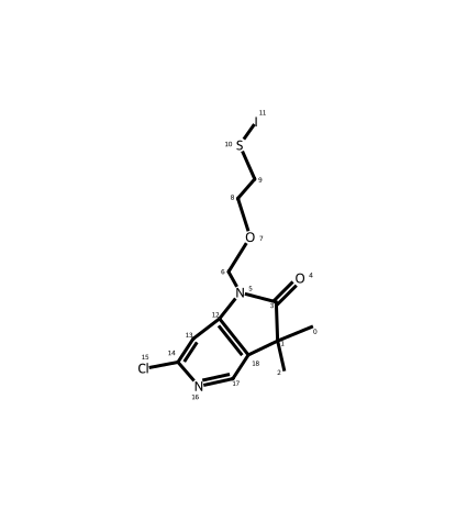 CC1(C)C(=O)N(COCCSI)c2cc(Cl)ncc21